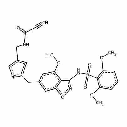 C#CC(=O)NCc1cnn(Cc2cc(OC)c3c(NS(=O)(=O)c4c(OC)cccc4OC)noc3c2)c1